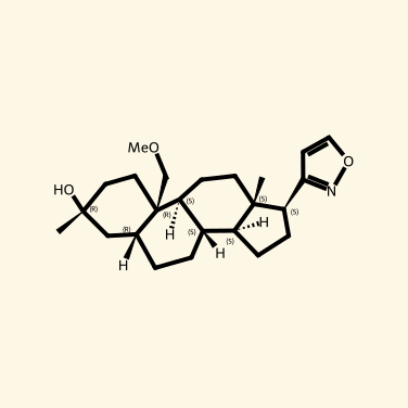 COC[C@]12CC[C@@](C)(O)C[C@H]1CC[C@H]1[C@@H]3CC[C@H](c4ccon4)[C@@]3(C)CC[C@@H]12